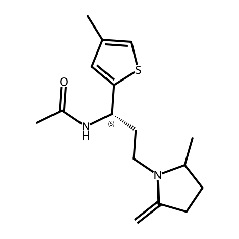 C=C1CCC(C)N1CC[C@H](NC(C)=O)c1cc(C)cs1